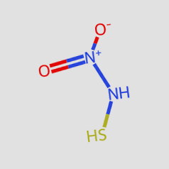 O=[N+]([O-])NS